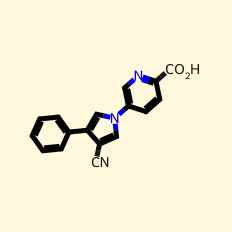 N#Cc1cn(-c2ccc(C(=O)O)nc2)cc1-c1ccccc1